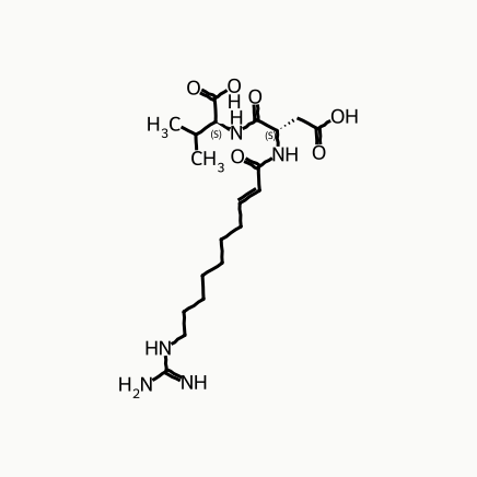 CC(C)[C@H](NC(=O)[C@H](CC(=O)O)NC(=O)C=CCCCCCCCNC(=N)N)C(=O)O